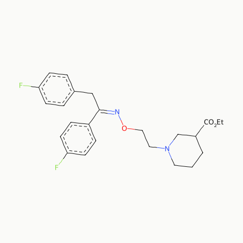 CCOC(=O)C1CCCN(CCON=C(Cc2ccc(F)cc2)c2ccc(F)cc2)C1